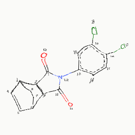 O=C1C2C3C=CC(CC3)C2C(=O)N1c1ccc(Cl)c(Cl)c1